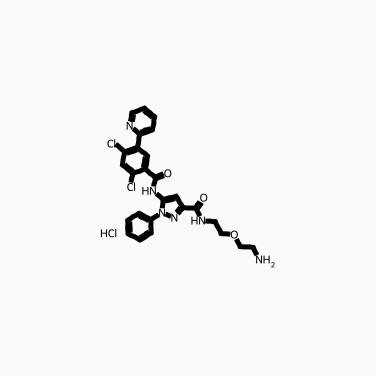 Cl.NCCOCCNC(=O)c1cc(NC(=O)c2cc(-c3ccccn3)c(Cl)cc2Cl)n(-c2ccccc2)n1